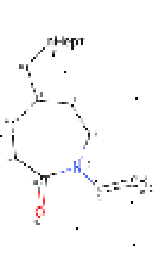 C=CN1CCC(CCCCCCCC)CCC1=O